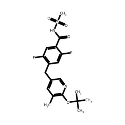 Cc1cc(Cc2cc(F)c(C(=O)NS(C)(=O)=O)cc2F)cnc1OC(C)(C)C